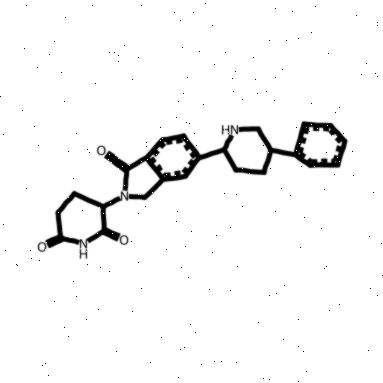 O=C1CCC(N2Cc3cc(C4CCC(c5ccccc5)CN4)ccc3C2=O)C(=O)N1